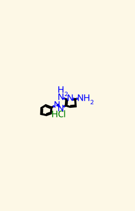 Cl.Nc1ccc(N=Nc2ccccc2)c(N)n1